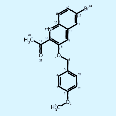 COc1ccc(COc2cc3cc(Br)ccc3nc2C(C)=O)cc1